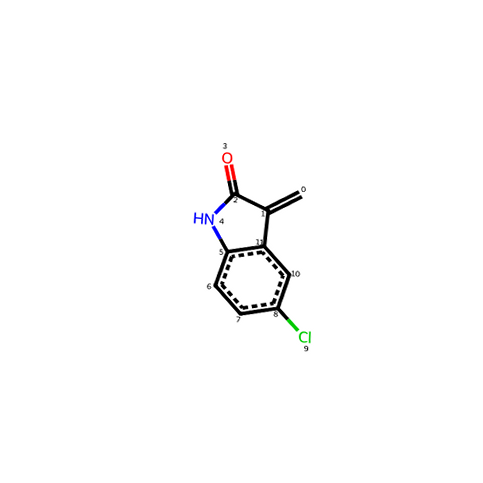 C=C1C(=O)Nc2ccc(Cl)cc21